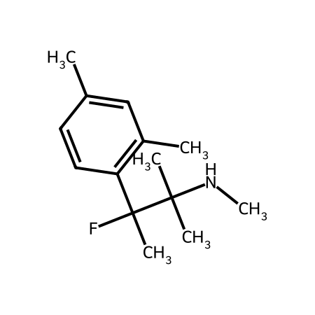 CNC(C)(C)C(C)(F)c1ccc(C)cc1C